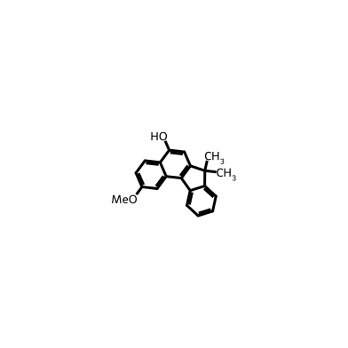 COc1ccc2c(O)cc3c(c2c1)-c1ccccc1C3(C)C